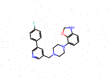 Fc1ccc(-c2cncc(CN3CCN(c4cccc5c4OCN5)CC3)c2)cc1